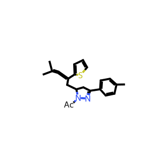 CC(=O)N1N=C(c2ccc(C)cc2)CC1CC(=C=C(C)C)c1cccs1